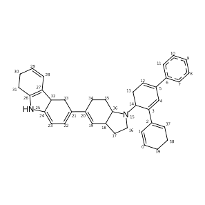 C1=CC(C2=CC(c3ccccc3)=CCC2N2CCC3C=C(C4=CC=C5NC6=C(C=CCC6)C5C4)CCC32)=CCC1